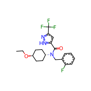 CCO[C@H]1CC[C@H](N(Cc2ccccc2F)C(=O)c2cc(C(F)(F)F)n[nH]2)CC1